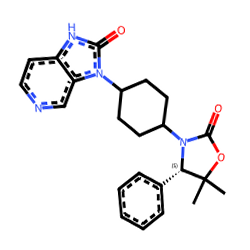 CC1(C)OC(=O)N(C2CCC(n3c(=O)[nH]c4ccncc43)CC2)[C@H]1c1ccccc1